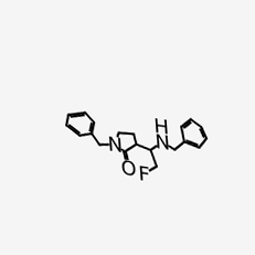 O=C1C(C(CF)NCc2ccccc2)CCN1Cc1ccccc1